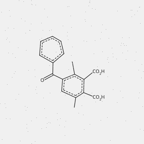 Cc1cc(C(=O)c2ccccc2)c(C)c(C(=O)O)c1C(=O)O